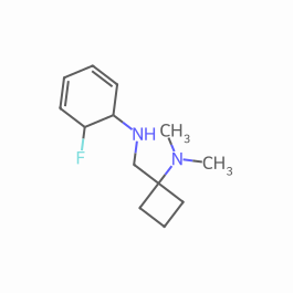 CN(C)C1(CNC2C=CC=CC2F)CCC1